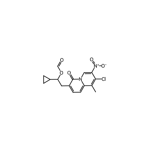 Cc1c(Cl)c([N+](=O)[O-])cn2c(=O)c(CC(OC=O)C3CC3)ccc12